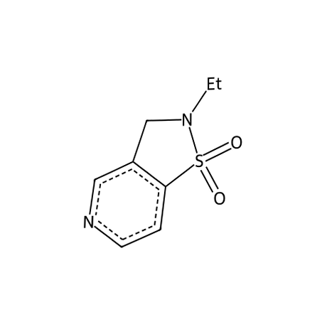 CCN1Cc2cnccc2S1(=O)=O